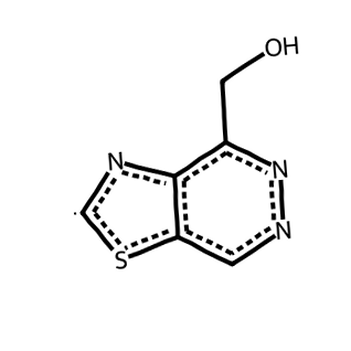 OCc1nncc2s[c]nc12